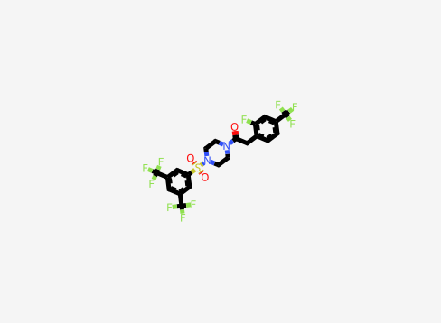 O=C(Cc1ccc(C(F)(F)F)cc1F)N1CCN(S(=O)(=O)c2cc(C(F)(F)F)cc(C(F)(F)F)c2)CC1